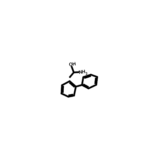 CC(N)O.c1ccc(-c2ccccc2)cc1